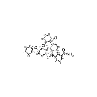 NC(=O)c1cccc2c1c1[c]cc(-c3c(Cl)cccc3Cl)cc1n2Cc1ccc(Oc2ccccc2)cc1